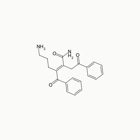 NCCCC(C(=O)c1ccccc1)=C(CC(=O)c1ccccc1)C(N)=O